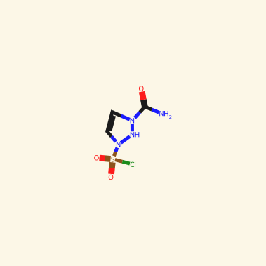 NC(=O)N1C=CN(S(=O)(=O)Cl)N1